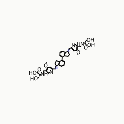 COc1cc(/C=C2\CCc3c2cccc3-c2cccc3c2CC/C3=C\c2cc(OC)c(CN[C@@H](CO)C(=O)O)cn2)ncc1CNC(CO)C(=O)O